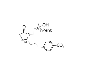 CCCCC[C@](C)(O)CCN1C(=O)CS[C@H]1CCCc1ccc(C(=O)O)cc1